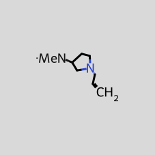 C=CCN1CCC([N]C)C1